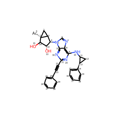 CC(=O)[C@]12CC1[C@@H](n1cnc3c(NC4C[C@H]4c4ccccc4)nc(C#Cc4ccccc4)nc31)[C@H](O)C2O